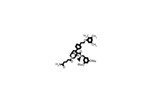 COc1cc(CN(C(=O)C2=C(c3ccc(CCOc4cc(C)cc(C)c4C)cc3)CC3CN(C(=O)CCCC(N)=O)C[C@H]2N3)C2CC2)cc(OC)c1